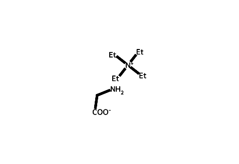 CC[N+](CC)(CC)CC.NCC(=O)[O-]